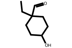 CCC1(C=O)CCC(O)CC1